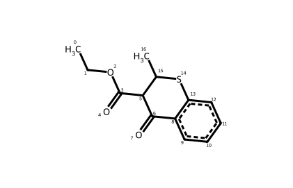 CCOC(=O)C1C(=O)c2ccccc2SC1C